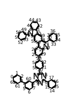 c1ccc(-c2cccc(-c3nc(-c4ccccc4)nc(-c4ccc(-c5ccc6c(c5)nc(-c5ccccc5)c5cc7c8ccccc8n(-c8ccccc8)c7cc56)cc4)n3)c2)cc1